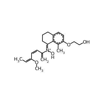 C=C(/C=C\C(=C/C)OC)/[N+](O)=C1\CCCc2ccc(OCCO)c(C)c21